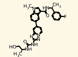 C[C@H](NC(=O)c1cn(C)c2ccc(-c3ccn4nc(NC(=O)N[C@@H](C)CO)nc4c3)cc12)c1cccc(F)c1